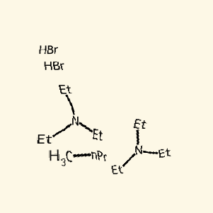 Br.Br.CCCC.CCN(CC)CC.CCN(CC)CC